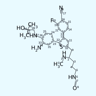 CNC(CCCNC=O)Cc1cc(-c2ccc(C#N)c(F)c2)c(-c2ccc(NCC(C)(C)O)c(N)c2)s1